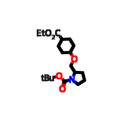 CCOC(=O)C1CCC(OCC2CCCN2C(=O)OC(C)(C)C)CC1